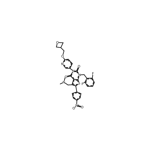 CN(C)Cc1c(-c2ccc([N+](=O)[O-])cc2)sc2c1c(=O)n(-c1ccc(OCC3COC3)nc1)c(=O)n2Cc1c(F)cccc1F